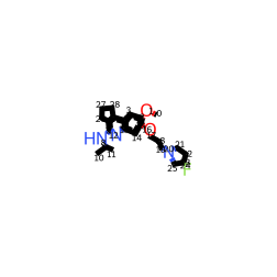 COc1cc2c3c(c(NC(C)C)nc2cc1OCCCN1CC[C@H](F)C1)CCC3